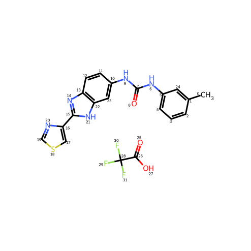 Cc1cccc(NC(=O)Nc2ccc3nc(-c4cscn4)[nH]c3c2)c1.O=C(O)C(F)(F)F